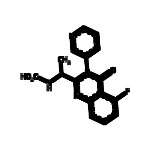 CC(NC(=O)O)c1nc2cccc(F)c2c(=O)n1-c1cccnc1